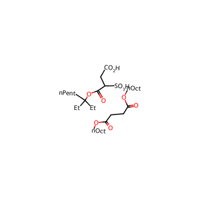 CCCCCC(CC)(CC)OC(=O)C(CC(=O)O)S(=O)(=O)O.CCCCCCCCOC(=O)CCC(=O)OCCCCCCCC